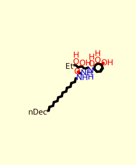 CCCCCCCCCCCCCCCCCCCCCCCCNC(=O)NC(CNC1CC=CC(O)C(O)C1O)C(O)CC(O)CC